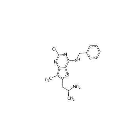 Cc1c(C[C@H](C)N)sc2c(NCc3ccccc3)nc(Cl)nc12